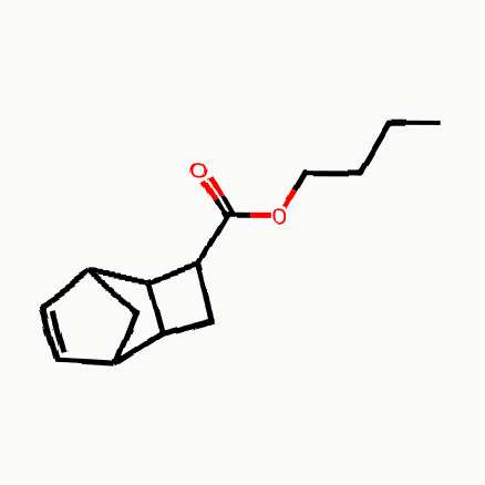 CCCCOC(=O)C1CC2C3C=CC(C3)C12